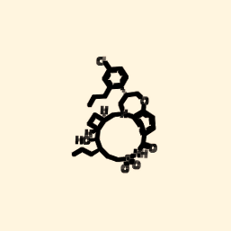 CCCc1cc(Cl)ccc1[C@@H]1COc2ccc3cc2N(C1)C[C@@H]1CC[C@H]1[C@H](O)[C@H](CCC)CCS(=O)(=O)NC3=O